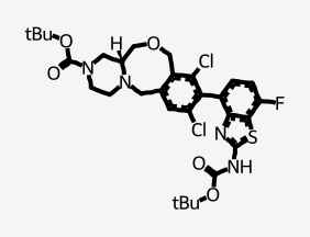 CC(C)(C)OC(=O)Nc1nc2c(-c3c(Cl)cc4c(c3Cl)COC[C@H]3CN(C(=O)OC(C)(C)C)CCN3C4)ccc(F)c2s1